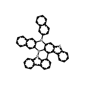 c1ccc2cc(N3c4cc5ccccc5cc4B4c5c3cc3sc6ccccc6c3c5-c3cccc5c6ccccc6n4c35)ccc2c1